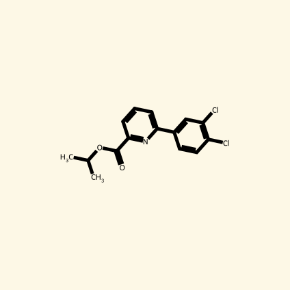 CC(C)OC(=O)c1cccc(-c2ccc(Cl)c(Cl)c2)n1